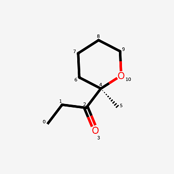 CCC(=O)[C@@]1(C)CCCCO1